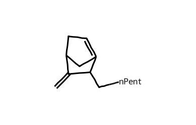 C=C1C2CC=C(C2)C1CCCCCC